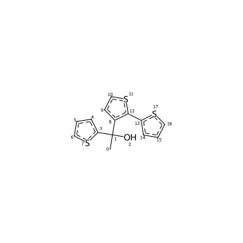 CC(O)(c1cccs1)c1ccsc1-c1cccs1